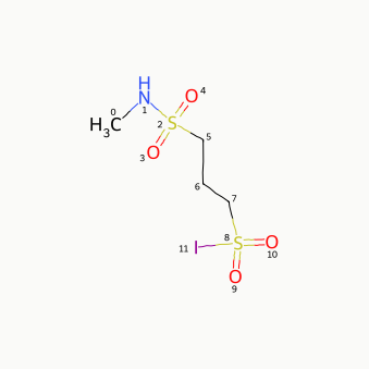 CNS(=O)(=O)CCCS(=O)(=O)I